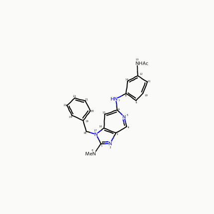 CNc1nc2cnc(Nc3cccc(NC(C)=O)c3)cc2n1Cc1ccccc1